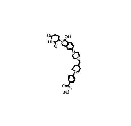 CC(C)(C)OC(=O)c1ccc(N2CCC(CN3CCN(c4ccc5c(c4)CN(C4CCC(=O)NC4=O)C5O)CC3)CC2)cc1